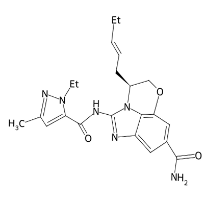 CC/C=C/C[C@H]1COc2cc(C(N)=O)cc3nc(NC(=O)c4cc(C)nn4CC)n1c23